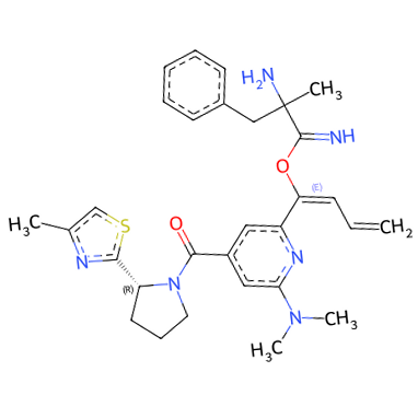 C=C/C=C(/OC(=N)C(C)(N)Cc1ccccc1)c1cc(C(=O)N2CCC[C@@H]2c2nc(C)cs2)cc(N(C)C)n1